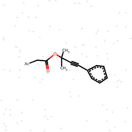 CC(=O)CC(=O)OC(C)(C)C#Cc1ccccc1